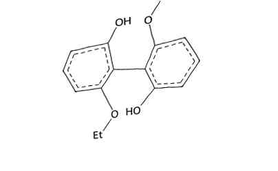 CCOc1cccc(O)c1-c1c(O)cccc1OCC